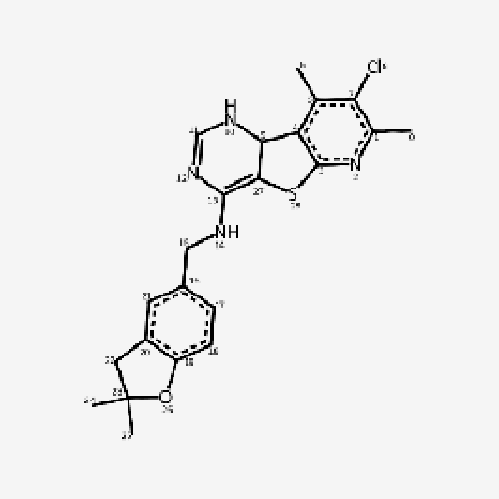 Cc1nc2c(c(C)c1Cl)C1NC=NC(NCc3ccc4c(c3)CC(C)(C)O4)=C1S2